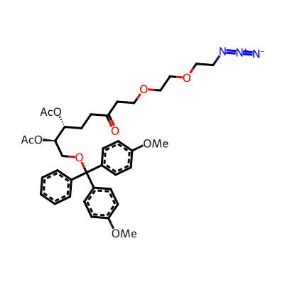 COc1ccc(C(OC[C@@H](OC(C)=O)[C@@H](CCC(=O)CCOCCOCCN=[N+]=[N-])OC(C)=O)(c2ccccc2)c2ccc(OC)cc2)cc1